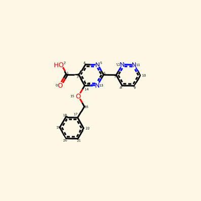 O=C(O)c1cnc(-c2cccnn2)nc1OCc1ccccc1